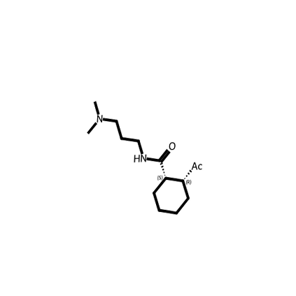 CC(=O)[C@@H]1CCCC[C@@H]1C(=O)NCCCN(C)C